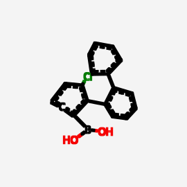 OB(O)c1cccc(Cl)c1-c1ccccc1-c1ccccc1